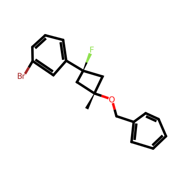 C[C@]1(OCc2ccccc2)C[C@@](F)(c2cccc(Br)c2)C1